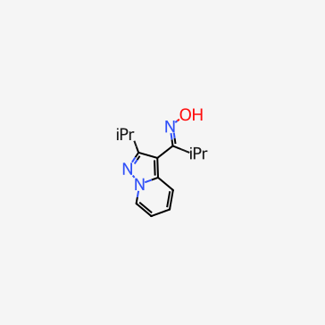 CC(C)/C(=N\O)c1c(C(C)C)nn2ccccc12